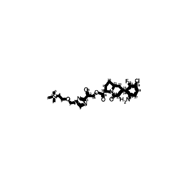 C[Si](C)(C)CCOCn1cnc(C(=O)COC(=O)[C@@H]2CCC3CC(c4c(N)ccc(Cl)c4F)=CC(=O)N32)n1